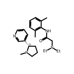 CCN(CC)CC(=O)Nc1c(C)cccc1C.CN1CCC[C@H]1c1cccnc1